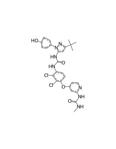 CNC(=O)Nc1cc(Oc2ccc(NC(=O)Nc3cc(C(C)(C)C)nn3-c3ccc(O)cc3)c(Cl)c2Cl)ccn1